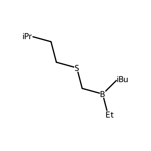 CCB(CSCCC(C)C)C(C)CC